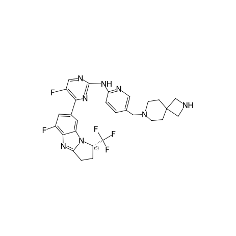 Fc1cnc(Nc2ccc(CN3CCC4(CC3)CNC4)cn2)nc1-c1cc(F)c2nc3n(c2c1)[C@H](C(F)(F)F)CC3